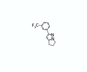 FC(F)(F)c1cccc(-c2cc3n(n2)CCC3)c1